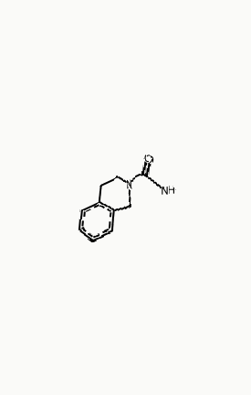 [NH]C(=O)N1CCc2ccccc2C1